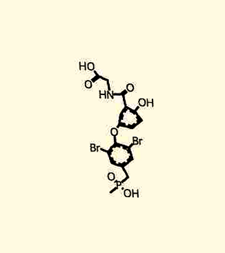 CP(=O)(O)Cc1cc(Br)c(Oc2ccc(O)c(C(=O)NCC(=O)O)c2)c(Br)c1